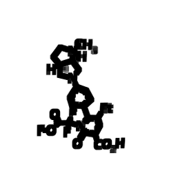 CCc1cc(C(=O)O)c(=O)n(C(F)(F)C(=O)OF)c1-c1ccc(N2C[C@H]3CCN(C)[C@H]3C2)cc1